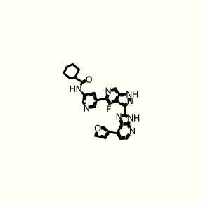 O=C(Nc1cncc(-c2ncc3[nH]nc(-c4nc5c(-c6ccoc6)ccnc5[nH]4)c3c2F)c1)C1CCCCC1